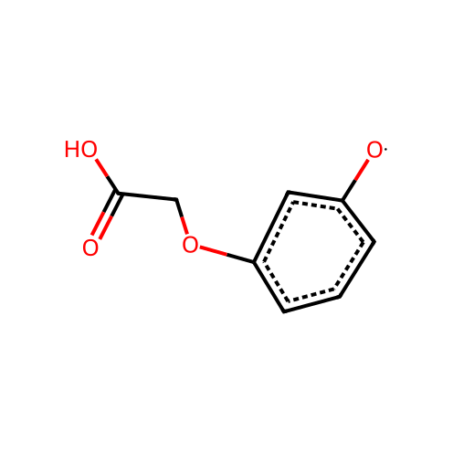 [O]c1cccc(OCC(=O)O)c1